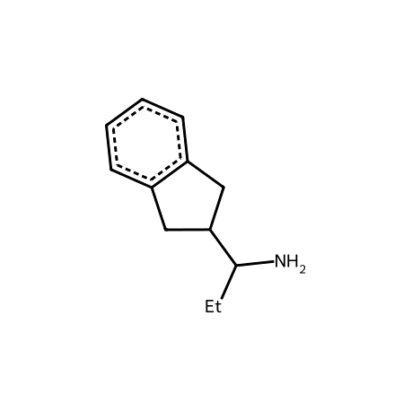 CCC(N)C1Cc2ccccc2C1